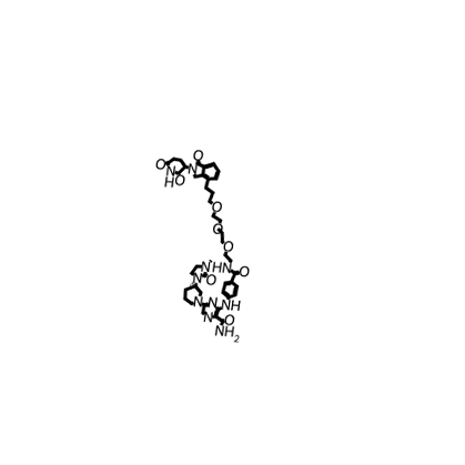 CN1CCN([C@@H]2CCCN(c3cnc(C(N)=O)c(Nc4ccc(C(=O)NCCOCCOCCOCCCc5cccc6c5CN(C5CCC(=O)NC5=O)C6=O)cc4)n3)C2)C1=O